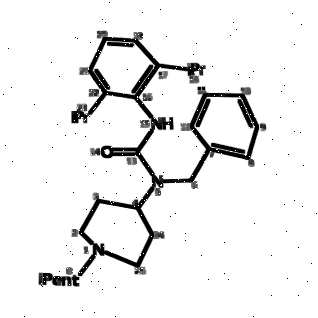 CCCC(C)N1CCC(N(Cc2ccccc2)C(=O)Nc2c(C(C)C)cccc2C(C)C)CC1